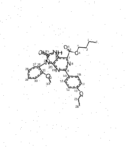 CCCCOC(=O)c1nc(-c2ccc(OCC)cc2)nc2c1[nH]c(=O)n2-c1ccccc1OC